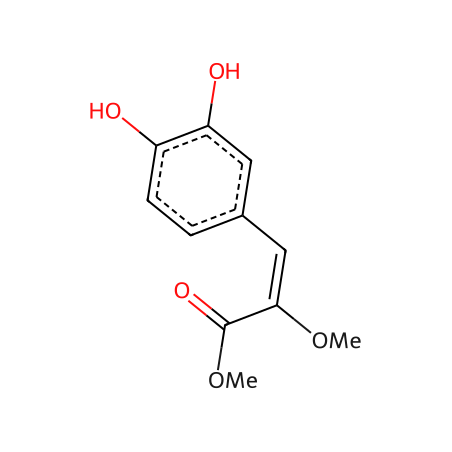 [CH2]OC(=O)C(=Cc1ccc(O)c(O)c1)OC